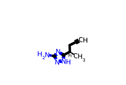 C#CC[C@@H](C)c1nc(N)n[nH]1